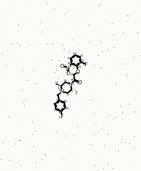 C[C@@H]1CN(Cc2ccc(F)cc2)[C@@H](C)CN1C(=O)COc1c(F)cccc1[N+](=O)[O-]